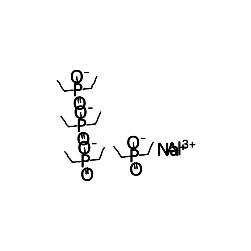 CCP(=O)([O-])CC.CCP(=O)([O-])CC.CCP(=O)([O-])CC.CCP(=O)([O-])CC.[Al+3].[Na+]